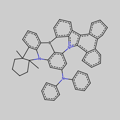 CC12CCCCC1(C)N1c3cc(N(c4ccccc4)c4ccccc4)cc4c3B(c3cccc2c31)c1cccc2c3c5ccccc5c5ccccc5c3n-4c12